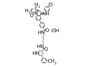 CC(=O)N1c2ccc(-c3ccc(C(=O)NCCCCCNC(=O)C4CNCC(c5cccc(C)c5)C4)cc3)cc2[C@H](Nc2ccc(Cl)cc2)C[C@@H]1C.Cl